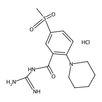 CS(=O)(=O)c1ccc(N2CCCCC2)c(C(=O)NC(=N)N)c1.Cl